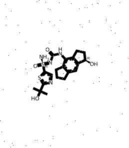 CC(C)(O)c1ncc([S@](N)(=O)=NC(=O)Nc2c3c(cc4c2CC[C@H]4O)CCC3)s1